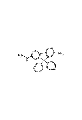 NNc1ccc2c(c1)C(c1ccccc1)(c1ccccc1)c1cc(N)ccc1-2